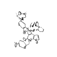 COc1ccc(Cn2c(=O)c(C3=Nc4cc(N5C[C@@H](C)O[C@@H](C)C5)ccc4[N]3)c(N[C@H]3CCCC[C@H]3O)c3ccsc32)cc1